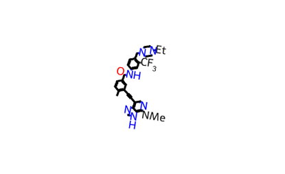 CCN1CCN(Cc2ccc(NC(=O)c3ccc(C)c(C#Cc4cnc(NC)c5[nH]cnc45)c3)cc2C(F)(F)F)CC1